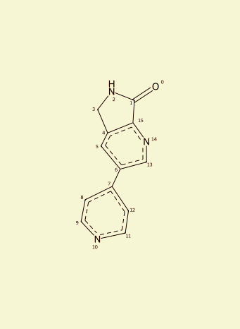 O=C1NCc2cc(-c3ccncc3)cnc21